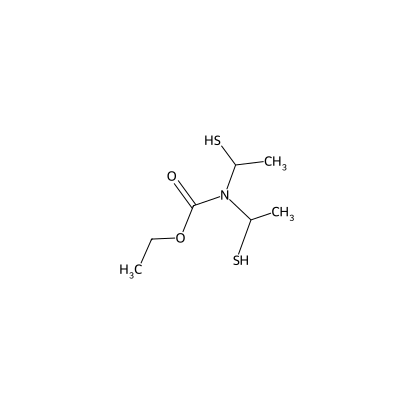 CCOC(=O)N(C(C)S)C(C)S